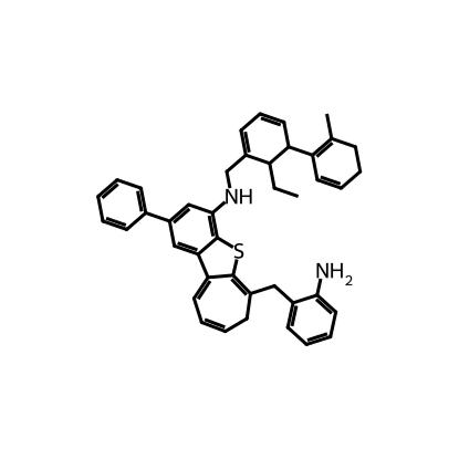 CCC1C(CNc2cc(-c3ccccc3)cc3c4c(sc23)=C(Cc2ccccc2N)CC=CC=4)=CC=CC1C1=C(C)CCC=C1